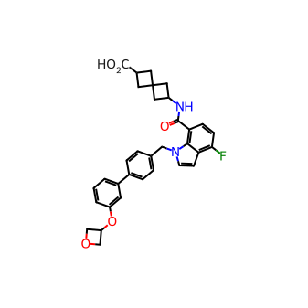 O=C(NC1CC2(C1)CC(C(=O)O)C2)c1ccc(F)c2ccn(Cc3ccc(-c4cccc(OC5COC5)c4)cc3)c12